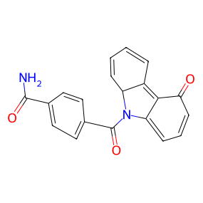 NC(=O)c1ccc(C(=O)N2C3=CC=CC(=O)C3=C3C=CC=CC32)cc1